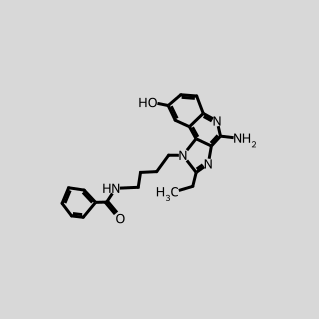 CCc1nc2c(N)nc3ccc(O)cc3c2n1CCCCNC(=O)c1ccccc1